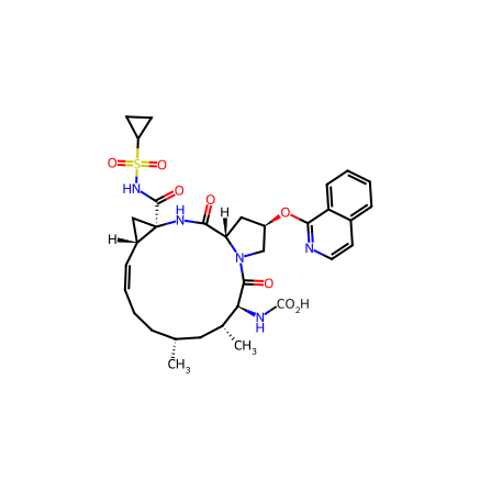 C[C@@H]1CCC=C[C@@H]2C[C@@]2(C(=O)NS(=O)(=O)C2CC2)NC(=O)[C@@H]2C[C@@H](Oc3nccc4ccccc34)CN2C(=O)[C@@H](NC(=O)O)[C@H](C)C1